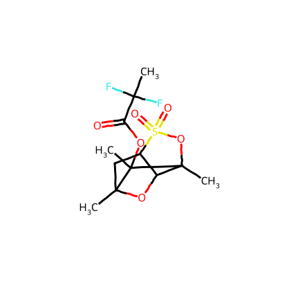 CC(F)(F)C(=O)OC1(C)C2(C)CC3C(O2)C1(C)OS3(=O)=O